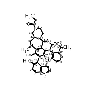 C=CC(=O)N1CCN2c3nc(=O)n(-c4c(C)ccnc4C(C)C)c4c(Cl)c(-c5c(C)ccc6[nH]ncc56)c(F)c(c34)N(C)CC2C1